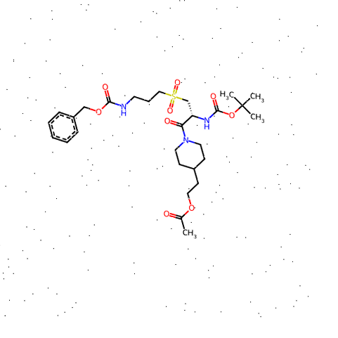 CC(=O)OCCC1CCN(C(=O)[C@H](CS(=O)(=O)CCCNC(=O)OCc2ccccc2)NC(=O)OC(C)(C)C)CC1